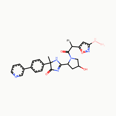 BBc1cc(C(C(=O)N2CC(O)CC2C2=NC(=O)C(C)(c3ccc(-c4cccnc4)cc3)N2)C(C)C)on1